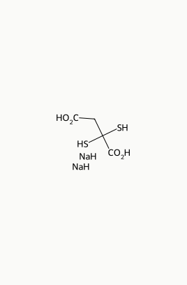 O=C(O)CC(S)(S)C(=O)O.[NaH].[NaH]